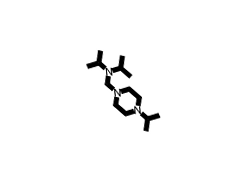 CC(C)N1CCN(CN(C(C)C)C(C)C)CC1